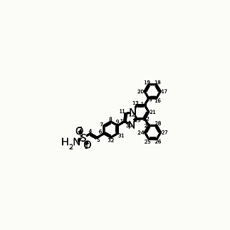 NS(=O)(=O)C=Cc1ccc(-c2cn3cc(-c4ccccc4)cc(-c4ccccc4)c3n2)cc1